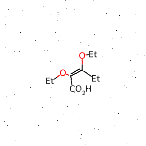 CCO/C(CC)=C(\OCC)C(=O)O